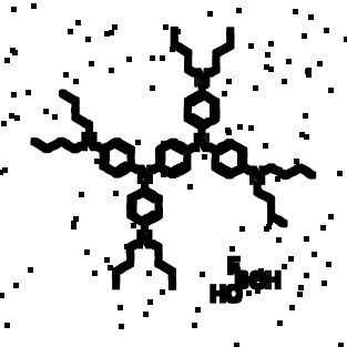 CCCCN(CCCC)c1ccc(N(c2ccc(N(CCCC)CCCC)cc2)c2ccc(N(c3ccc(N(CCCC)CCCC)cc3)c3ccc(N(CCCC)CCCC)cc3)cc2)cc1.OB(O)F